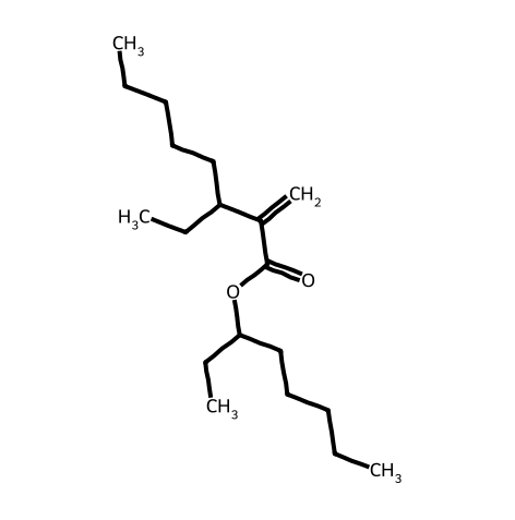 C=C(C(=O)OC(CC)CCCCC)C(CC)CCCCC